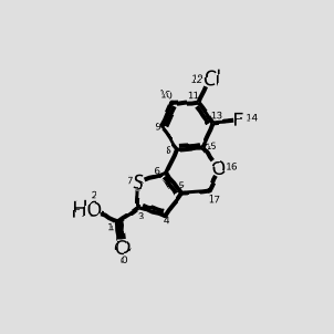 O=C(O)c1cc2c(s1)-c1ccc(Cl)c(F)c1OC2